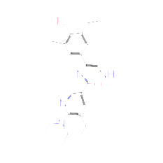 C=C(/N=C(\ON)c1cnc(N(CC)CC)c(CC)c1)c1cc(C)c(O)c(CC)c1